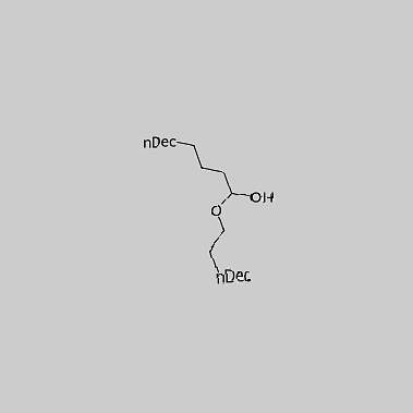 CCCCCCCCCCCCCC(O)OCCCCCCCCCCCC